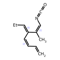 C=C\C=C/C(=C\CC)C(/C)=C\N=C=O